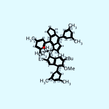 CCC1=Cc2c(cc(C(C)(C)C)c(OC)c2-c2cc(C)cc(C)c2)[CH]1[Zr]([CH]1C(C)=Cc2c(-c3cc(C)cc(C)c3)c3c(c(-c4cc(C)cc(C)c4)c21)CCC3)=[Si](C)C